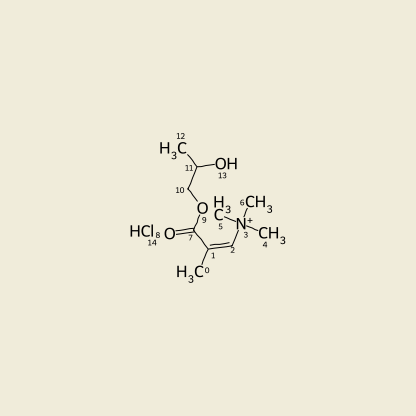 CC(=C[N+](C)(C)C)C(=O)OCC(C)O.Cl